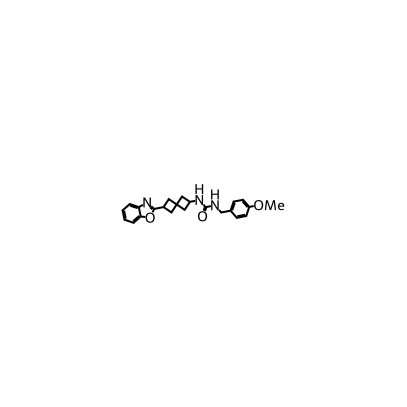 COc1ccc(CNC(=O)NC2CC3(C2)CC(c2nc4ccccc4o2)C3)cc1